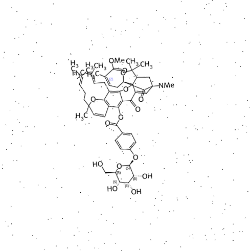 CNC12C=C3C(=O)c4c(OC(=O)c5ccc(O[C@@H]6O[C@H](CO)[C@@H](O)[C@@H](O)[C@H]6O)cc5)c5c(c(CC=C(C)C)c4OC34C(C1)C(C)(C)OC4(C/C=C(/C)C(=O)OC)C2=O)OC(C)(CCC=C(C)C)C=C5